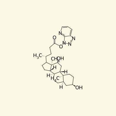 C[C@H](CCC(=O)On1nnc2cccnc21)C1CC[C@H]2[C@@H]3CC[C@@H]4C[C@H](O)CC[C@]4(C)[C@H]3C[C@H](O)[C@]12C